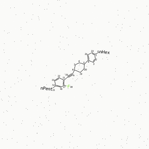 CCCCCCc1ccc(C2CCC(C#Cc3ccc(CCCCC)cc3F)CC2)cc1